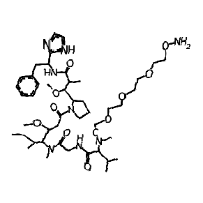 CCC(C)C(C(CC(=O)N1CCCC1C(OC)C(C)C(=O)NC(Cc1ccccc1)c1ncc[nH]1)OC)N(C)C(=O)CNC(=O)C(C(C)C)N(C)CCOCCOCCOCCON